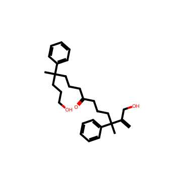 C=C(CO)C(C)(CCCC(=O)CCCC(C)(CCCO)c1ccccc1)c1ccccc1